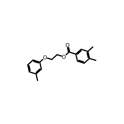 Cc1cccc(OCCOC(=O)c2ccc(C)c(C)c2)c1